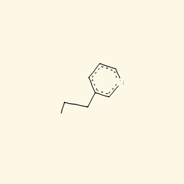 ICCc1cccnc1